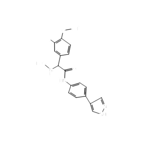 CNC(C(=O)Nc1ccc(-c2cn[nH]c2)cc1)c1ccc(OC)c(F)c1